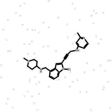 CCn1c(C#CCNc2ccnc(C)c2)cc2c(CNC3CCN(C)CC3)cccc21